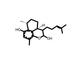 CC(C)=CCCC1C(O)Oc2c(C)cc(O)c3c2[C@H]1CC[C@H]3C